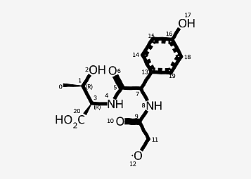 C[C@@H](O)[C@@H](NC(=O)C(NC(=O)C[O])c1ccc(O)cc1)C(=O)O